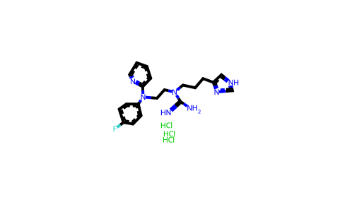 Cl.Cl.Cl.N=C(N)N(CCCc1c[nH]cn1)CCN(c1ccc(F)cc1)c1ccccn1